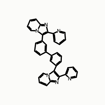 c1ccc(-c2nc3ccccn3c2-c2cccc(-c3cccc(-c4c(-c5ccccn5)nc5ccccn45)c3)c2)nc1